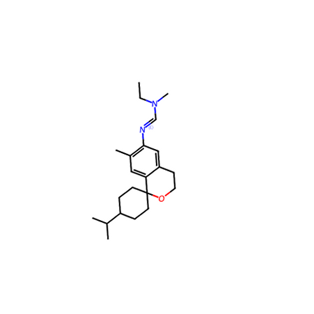 CCN(C)/C=N/c1cc2c(cc1C)C1(CCC(C(C)C)CC1)OCC2